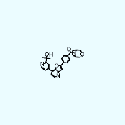 CC(C)(O)c1cc(-c2ccnc3cc(-c4ccc(C(=O)N5C6CCC5COC6)cc4)oc23)ccn1